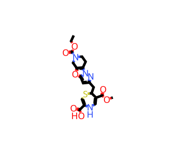 CCOC(=O)N1CCc2c(oc3cc(CC4SC=C(C(=O)O)NC=C4C(=O)OC)nn23)C1